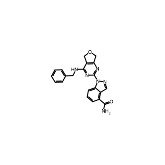 NC(=O)c1cccc2c1cnn2-c1nc2c(c(NCc3ccccc3)n1)COC2